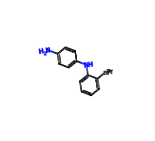 CCCc1ccccc1Nc1ccc(N)cc1